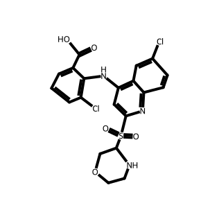 O=C(O)c1cccc(Cl)c1Nc1cc(S(=O)(=O)C2COCCN2)nc2ccc(Cl)cc12